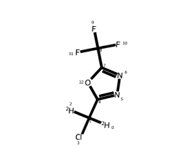 [2H]C([2H])(Cl)c1nnc(C(F)(F)F)o1